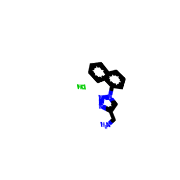 Cl.NCc1cn(-c2cccc3ccccc23)nn1